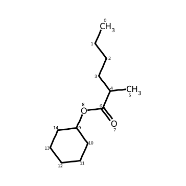 CCCCC(C)C(=O)OC1CCCCC1